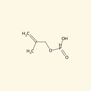 C=C(C)CO[PH](=O)O